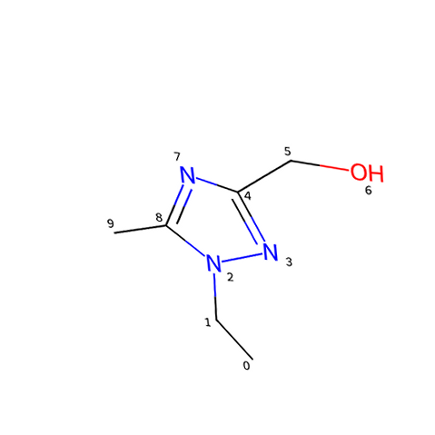 CCn1nc(CO)nc1C